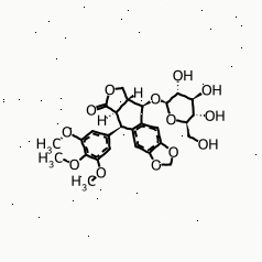 COc1cc([C@@H]2c3cc4c(cc3[C@H](O[C@@H]3O[C@H](CO)[C@@H](O)[C@H](O)[C@H]3O)[C@H]3COC(=O)[C@H]23)OCO4)cc(OC)c1OC